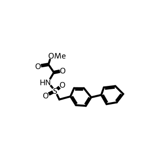 COC(=O)C(=O)NS(=O)(=O)Cc1ccc(-c2ccccc2)cc1